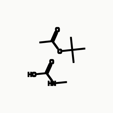 CC(=O)OC(C)(C)C.CNC(=O)O